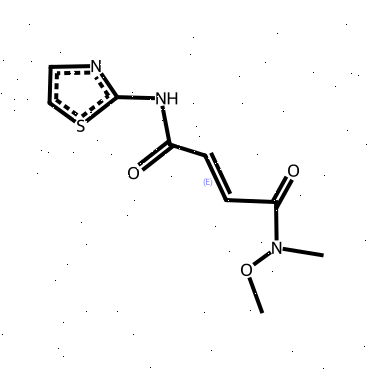 CON(C)C(=O)/C=C/C(=O)Nc1nccs1